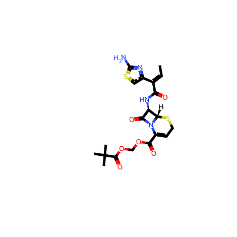 CC=C(C(=O)N[C@@H]1C(=O)N2C(C(=O)OCOC(=O)C(C)(C)C)=CCS[C@@H]12)c1csc(N)n1